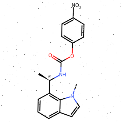 C[C@@H](NC(=O)Oc1ccc([N+](=O)[O-])cc1)c1cccc2ccn(C)c12